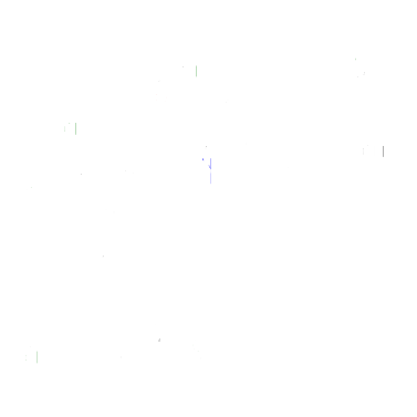 Cc1cc(NC(=O)C2C(c3cc(Cl)cc(Cl)c3)C2(Cl)Cl)c(F)cc1Cl